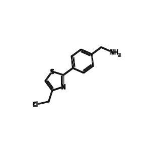 NCc1ccc(-c2nc(CCl)cs2)cc1